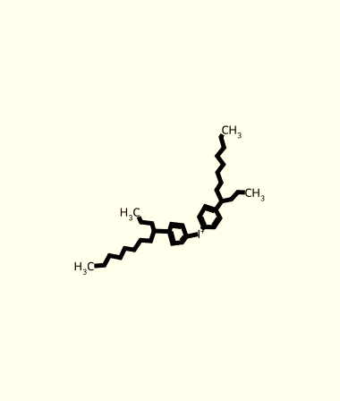 CCCCCCCCC(CCC)c1ccc([I+]c2ccc(C(CCC)CCCCCCCC)cc2)cc1